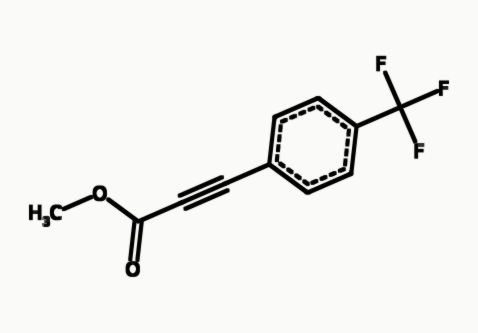 COC(=O)C#Cc1ccc(C(F)(F)F)cc1